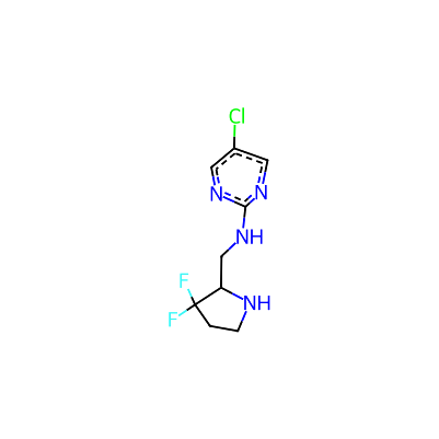 FC1(F)CCNC1CNc1ncc(Cl)cn1